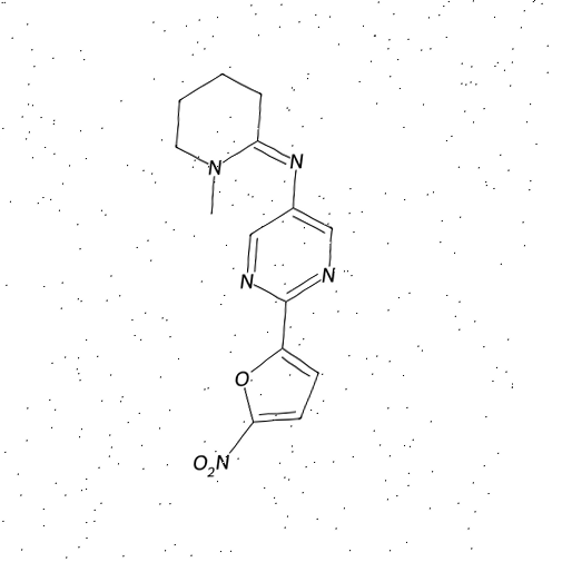 CN1CCCCC1=Nc1cnc(-c2ccc([N+](=O)[O-])o2)nc1